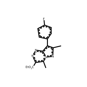 CCOC(=O)c1nnc2c(-c3ccc(F)cc3)c(C)nn2c1C